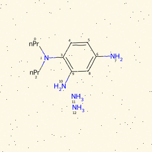 CCCN(CCC)c1ccc(N)cc1N.N.N